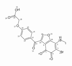 CBC1=C(Br)C(=O)C(=O)c2c(C(=O)c3ccc(OCC(=O)O)cc3)coc21